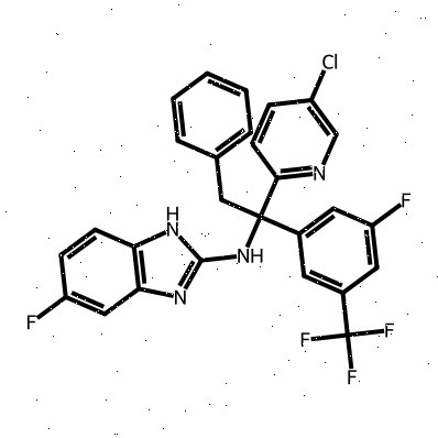 Fc1cc(C(F)(F)F)cc(C(Cc2ccccc2)(Nc2nc3cc(F)ccc3[nH]2)c2ccc(Cl)cn2)c1